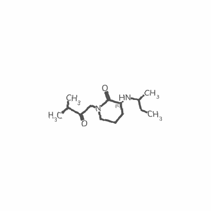 CCC(C)N[C@@H]1CCCN(CC(=O)C(C)C)C1=O